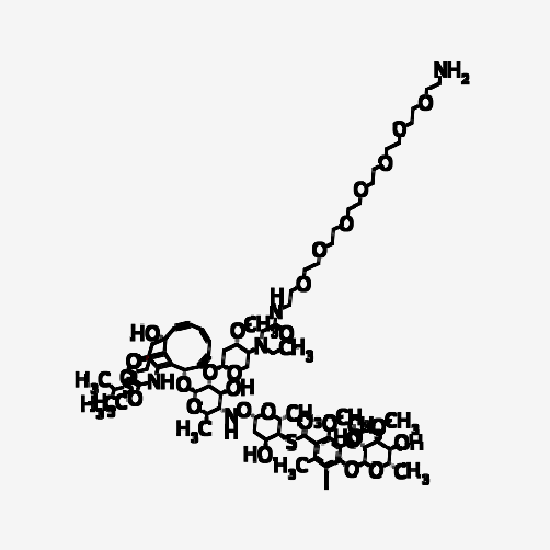 CCN(CC(=O)NCCOCCOCCOCCOCCOCCOCCOCCN)[C@H]1CO[C@@H](O[C@H]2[C@H](O[C@H]3C#C/C=C\C#C[C@]4(O)CC(=O)C(NC(=O)OC)=C3/C4=C\CSSC(C)C)O[C@H](C)[C@@H](NO[C@H]3C[C@H](O)[C@H](SC(=O)c4c(C)c(I)c(O[C@@H]5O[C@@H](C)[C@H](O)[C@@H](OC)[C@H]5O)c(OC)c4OC)[C@@H](C)O3)[C@@H]2O)C[C@@H]1OC